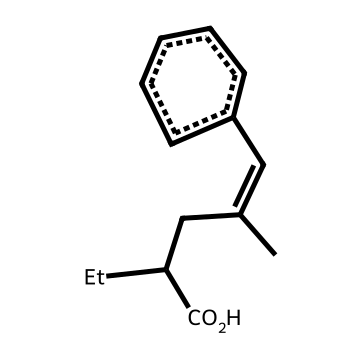 CCC(CC(C)=Cc1ccccc1)C(=O)O